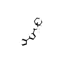 O=C(N[C@H]1CN2CCC1CC2)c1ccc(-c2ccoc2)o1